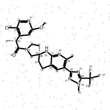 COc1cc([C@@H](C)C(=O)N2CC[C@]3(CCc4cc(-c5nc(C(F)(F)F)n(C)n5)c(C)nc4N3)C2)c(Cl)cn1